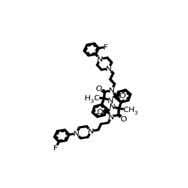 CC1(c2ccccc2)C(=O)N(CCCN2CCN(c3cccc(F)c3)CC2)C(=O)N1N1C(=O)N(CCCN2CCN(c3ccccc3F)CC2)C(=O)C1(C)c1ccccc1